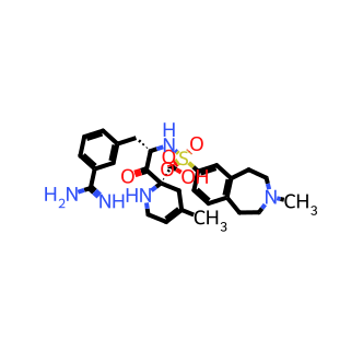 CC1=CCN[C@@](C(=O)O)(C(=O)[C@H](Cc2cccc(C(=N)N)c2)NS(=O)(=O)c2ccc3c(c2)CCN(C)CC3)C1